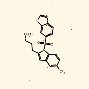 O=C(O)CCCc1cc2cc(C(F)(F)F)ccc2n1S(=O)(=O)c1ccc2ncsc2c1